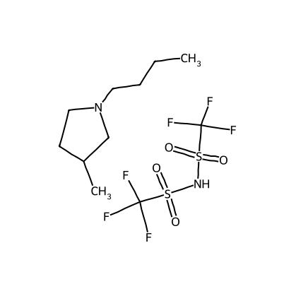 CCCCN1CCC(C)C1.O=S(=O)(NS(=O)(=O)C(F)(F)F)C(F)(F)F